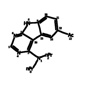 CCCN(CCC)c1ncnc2[nH]c3ccc(C(C)=O)cc3c12